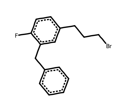 Fc1ccc(CCCBr)cc1Cc1ccccc1